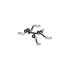 CC1(C)C2=CC(Cl)=CN(CCCCS(=O)(=O)O)C2=N/C1=C/C=C(/C=C/C1=[N+](CCCCS(=O)(=O)O)c2ccc3ccc(S(=O)(=O)O)cc3c2C1(C)C)c1cccc(OCCCCO)c1